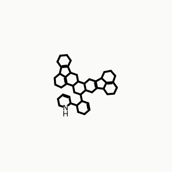 C1=CC(C2CCC=CC2C2CC3C4=C5C(CCC4)C4=C(CCCC4)C5CC3C3CC4=C(CC23)C2CCCC3=C2C4CCC3)NCC1